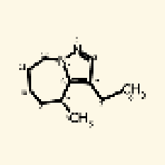 CCc1cnn2c1[C@@H](C)CCCC2